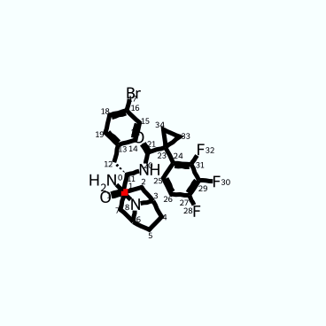 NC1CC2CCC(C1)N2C(=O)[C@H](Cc1ccc(Br)cc1)NC(=O)C1(c2ccc(F)c(F)c2F)CC1